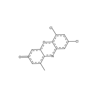 Cc1cc(=O)cc2oc3c(Cl)cc(Cl)cc3nc1-2